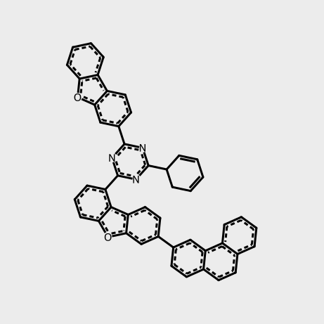 C1=CCC(c2nc(-c3ccc4c(c3)oc3ccccc34)nc(-c3cccc4oc5cc(-c6ccc7ccc8ccccc8c7c6)ccc5c34)n2)C=C1